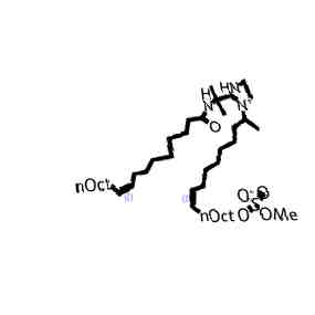 CCCCCCCC/C=C\CCCCCCCC(=O)NC(C)(C)C1=[N+](C(C)CCCCCC/C=C\CCCCCCCC)CCN1.COS(=O)(=O)[O-]